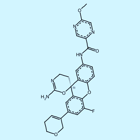 COc1cnc(C(=O)Nc2ccc3c(c2)[C@@]2(CCN=C(N)O2)c2cc(C4=CCCOC4)cc(F)c2O3)cn1